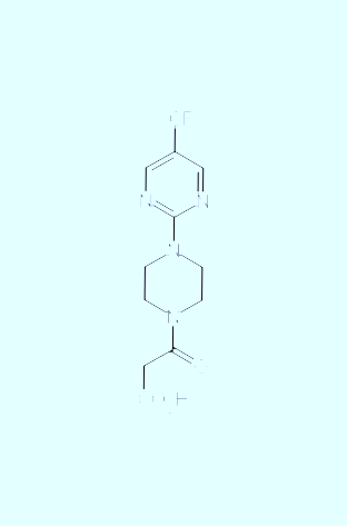 O=C(O)CC(=O)N1CCN(c2ncc(C(F)(F)F)cn2)CC1